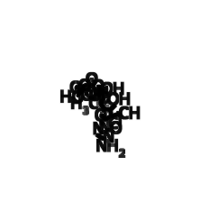 C#CC1(Cl)C(CO)[C@@H]([C@H](C)OP(=O)(O)OP(=O)(O)OP(=O)(O)O)O[C@H]1n1ncc(N)nc1=O